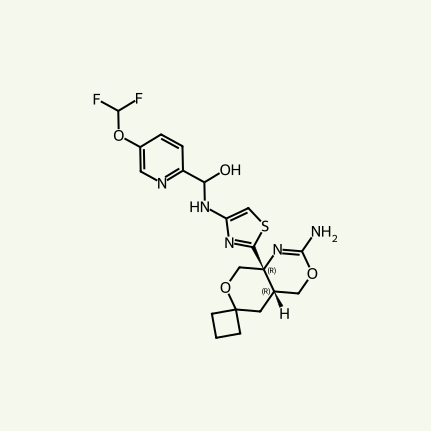 NC1=N[C@@]2(c3nc(NC(O)c4ccc(OC(F)F)cn4)cs3)COC3(CCC3)C[C@H]2CO1